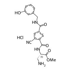 COC(=O)[C@H](CN)NC(=O)c1sc(C(=O)NCc2cccc(O)c2)cc1C#N.Cl